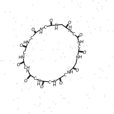 O=C1CNC(=O)CNC(=O)CNC(=O)CNC(=O)CNC(=O)CNC(=O)CNC(=O)CNC(=O)CNC(=O)CNC(=O)CN1